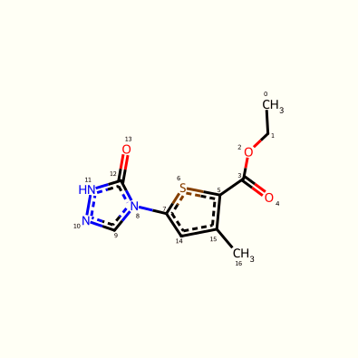 CCOC(=O)c1sc(-n2cn[nH]c2=O)cc1C